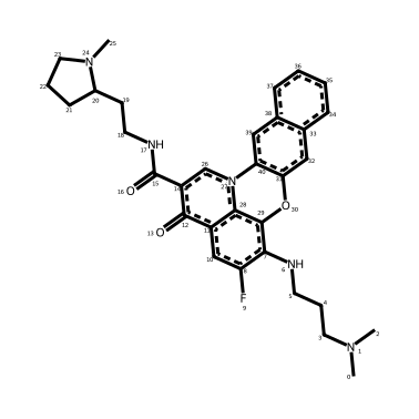 CN(C)CCCNc1c(F)cc2c(=O)c(C(=O)NCCC3CCCN3C)cn3c2c1Oc1cc2ccccc2cc1-3